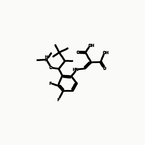 CC(C(O[SiH](C)C)c1c(NC=C(C(=O)O)C(=O)O)ccc(F)c1F)C(C)(C)C